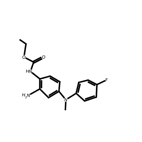 CCOC(=O)Nc1ccc(N(C)c2ccc(F)cc2)cc1N